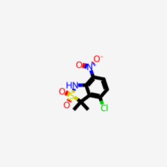 CC1(C)c2c(Cl)ccc([N+](=O)[O-])c2NS1(=O)=O